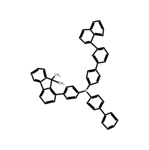 CC1(C)c2ccccc2-c2cccc(-c3ccc(N(c4ccc(-c5ccccc5)cc4)c4ccc(-c5cccc(-c6cccc7ccccc67)c5)cc4)cc3)c21